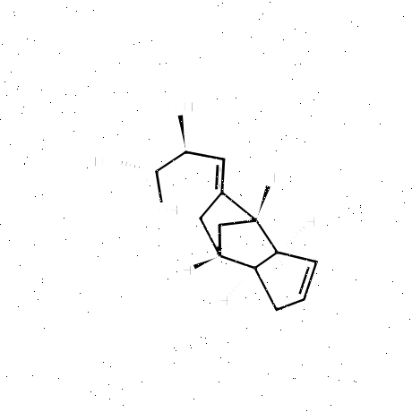 C[C@@H](O)[C@@H](C)/C=C1\C[C@@H]2C[C@H]1[C@H]1C=CC[C@@H]21